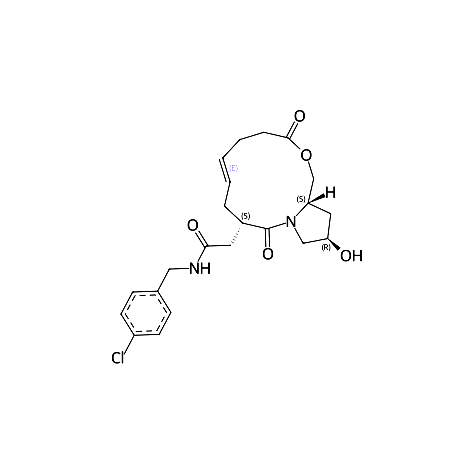 O=C(C[C@@H]1C/C=C/CCC(=O)OC[C@@H]2C[C@@H](O)CN2C1=O)NCc1ccc(Cl)cc1